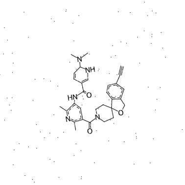 C#Cc1ccc2c(c1)COC21CCN(C(=O)c2cc(NC(=O)C3=CNC(N(C)C)C=C3)c(C)nc2C)CC1